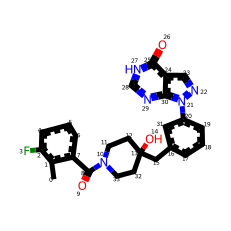 Cc1c(F)cccc1C(=O)N1CCC(O)(Cc2cccc(-n3ncc4c(=O)[nH]cnc43)c2)CC1